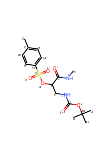 CNC(=O)C(CNC(=O)OC(C)(C)C)OS(=O)(=O)c1ccc(C)cc1